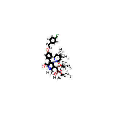 Cc1nc(C=O)c(-c2ccc(OCCc3ccc(F)cc3)cc2)c(N2CCC(C)(C)CC2)c1C(OC(C)(C)C)C(=O)OC(C)C